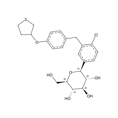 OC[C@H]1O[C@@H](c2ccc(Cl)c(Cc3ccc(OC4CCSC4)cc3)c2)[C@H](O)[C@@H](O)[C@@H]1O